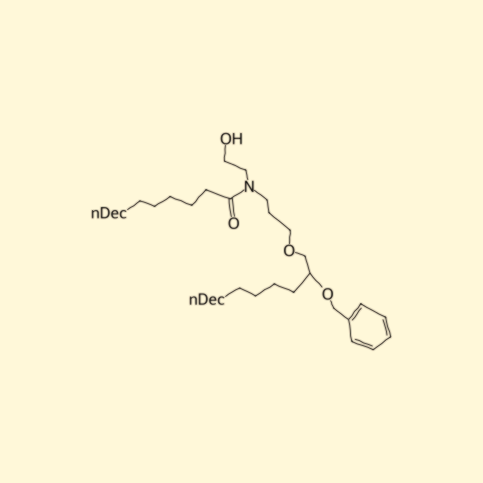 CCCCCCCCCCCCCCCC(=O)N(CCO)CCCOCC(CCCCCCCCCCCCCC)OCc1ccccc1